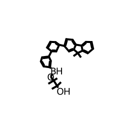 CC1(C)c2ccccc2-c2ccc(-c3cccc(-c4cccc(BOC(C)(C)C(C)(C)O)c4)c3)cc21